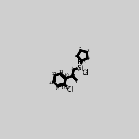 CC(C[SiH](Cl)C1CCCC1)c1ccccc1Cl